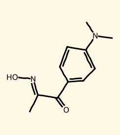 CC(=NO)C(=O)c1ccc(N(C)C)cc1